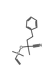 C=C[Si](C)(C)OC(C)(C#N)CCc1ccccc1